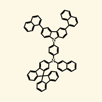 c1ccc2c(c1)-c1ccccc1C21c2ccccc2-c2ccc(N(c3ccc(-n4c5ccc(-c6cccc7ccccc67)cc5c5cc(-c6cccc7ccccc67)ccc54)cc3)c3ccc4ccccc4c3)cc21